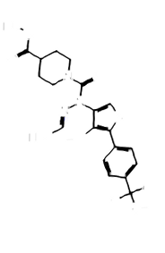 C/C=N/N(C(=S)N1CCC(C(=O)OC)CC1)c1csc(-c2ccc(C(C)(C)C)cc2)c1O